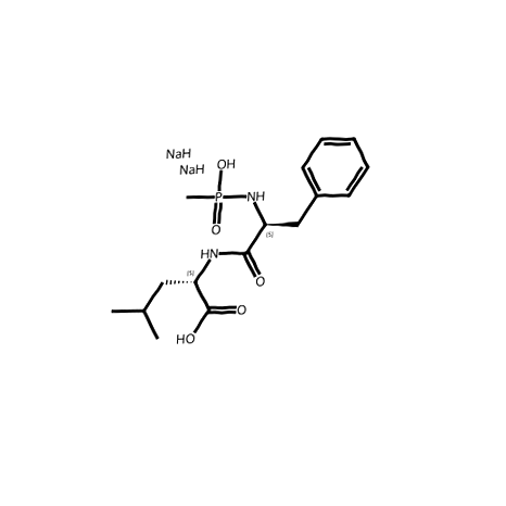 CC(C)C[C@H](NC(=O)[C@H](Cc1ccccc1)NP(C)(=O)O)C(=O)O.[NaH].[NaH]